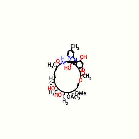 CO[C@H]1/C=C/O[C@@]2(C)Oc3cc(O)c4c(O)c(c5c(nc6cc(C)ccn65)c4c3C2=O)NC(=O)/C(C)=C\C=C\[C@H](C)[C@H](O)[C@@H](C)[C@@H](O)[C@@H](C)[C@H](OC(C)=O)[C@@H]1C